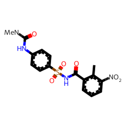 CNC(=O)Nc1ccc(S(=O)(=O)NC(=O)c2cccc([N+](=O)[O-])c2C)cc1